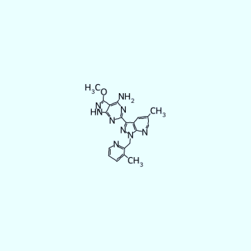 COc1n[nH]c2nc(-c3nn(Cc4ncccc4C)c4ncc(C)cc34)nc(N)c12